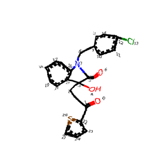 O=C(CC1(O)C(=O)N(Cc2ccc(Cl)cc2)c2ccccc21)c1cccs1